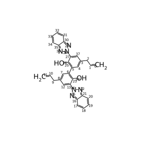 C=CCc1cc(-c2cc(CC=C)cc(-n3nc4ccccc4n3)c2O)c(O)c(-n2nc3ccccc3n2)c1